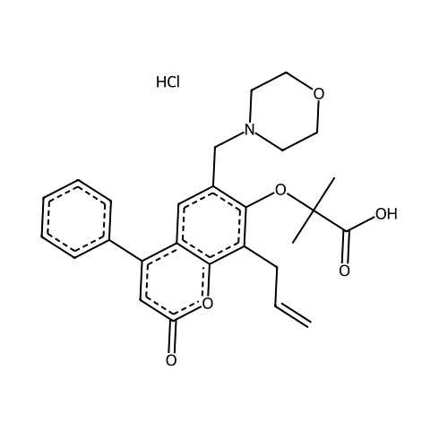 C=CCc1c(OC(C)(C)C(=O)O)c(CN2CCOCC2)cc2c(-c3ccccc3)cc(=O)oc12.Cl